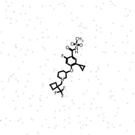 CS(=O)(=O)NC(=O)c1cc(C2CC2)c(OC2CCCN(CC3(C(F)(F)F)CCC3)C2)cc1F